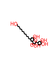 O=c1c(O)c(-c2ccc(O)c(O)c2)oc2c(O)cc(CCCCCCCCCCCCO)cc12